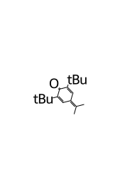 CC(C)=C1C=C(C(C)(C)C)C(=O)C(C(C)(C)C)=C1